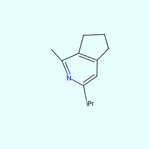 Cc1nc(C(C)C)cc2c1CCC2